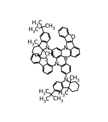 CC(C)(C)c1ccc2c(c1)C1(C)CCCCC1(C)N2c1ccc2c(c1)N(c1cccc3c1sc1ccccc13)c1cc(N3c4ccc(C(C)(C)C)cc4C4(C)CCCCC34C)cc3c1B2c1cccc2c4oc5ccccc5c4n-3c12